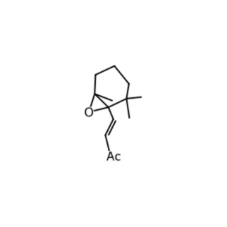 CC(=O)C=CC12OC1(C)CCCC2(C)C